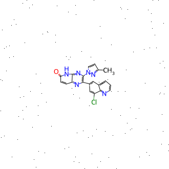 Cc1ccn(-c2nc3[nH]c(=O)ccc3nc2-c2cc(Cl)c3ncccc3c2)n1